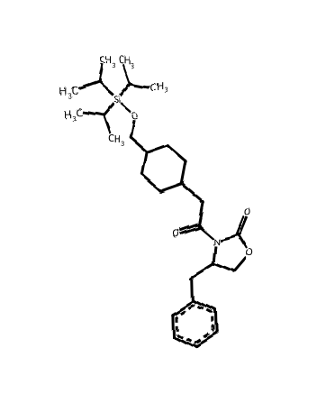 CC(C)[Si](OCC1CCC(CC(=O)N2C(=O)OCC2Cc2ccccc2)CC1)(C(C)C)C(C)C